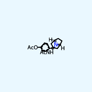 CC(=O)N[C@H]1C[C@H]2CC[C@@H](C1)N2Cc1ccc(OC(C)=O)cc1